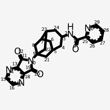 O=C(NC1CC2CC3CC(N4C(=O)c5nccnc5C4=O)(C2)CC3C1)c1ccccn1